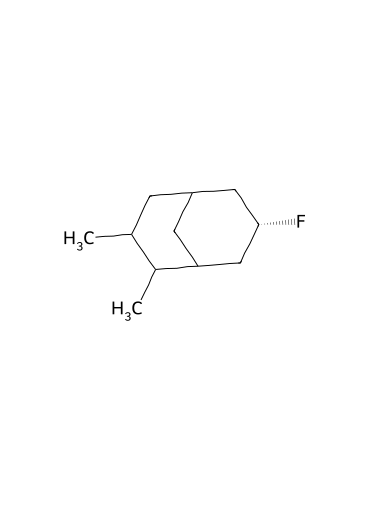 CC1CC2CC(C[C@@H](F)C2)C1C